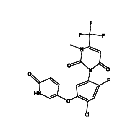 Cn1c(C(F)(F)F)cc(=O)n(-c2cc(Oc3ccc(=O)[nH]c3)c(Cl)cc2F)c1=O